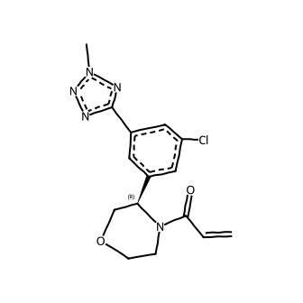 C=CC(=O)N1CCOC[C@H]1c1cc(Cl)cc(-c2nnn(C)n2)c1